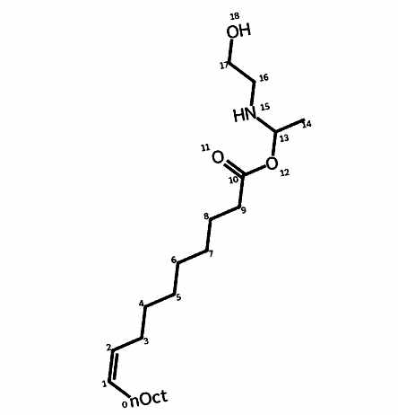 CCCCCCCC/C=C\CCCCCCCC(=O)OC(C)NCCO